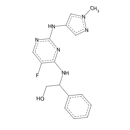 Cn1cc(Nc2ncc(F)c(NC(CO)c3ccccc3)n2)cn1